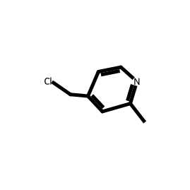 Cc1cc(CCl)ccn1